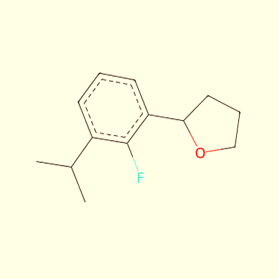 CC(C)c1cccc(C2CCCO2)c1F